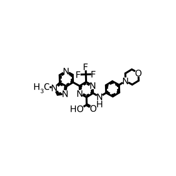 Cn1cnc2c(-c3nc(C(=O)O)c(Nc4ccc(N5CCOCC5)cc4)nc3C(F)(F)F)cncc21